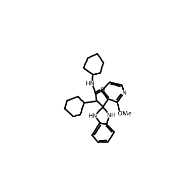 COc1ncccc1C1(C(C(=O)NC2CCCCC2)C2CCCCC2)Nc2ccccc2N1